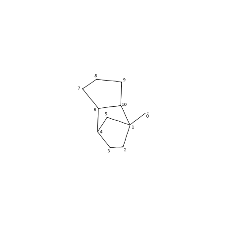 [CH]C12CCC(C1)C1CCCC12